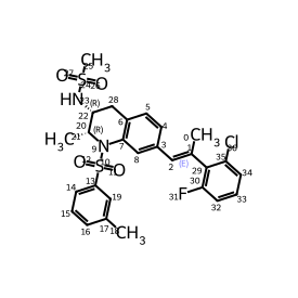 C/C(=C\c1ccc2c(c1)N(S(=O)(=O)c1cccc(C)c1)[C@H](C)[C@H](NS(C)(=O)=O)C2)c1c(F)cccc1Cl